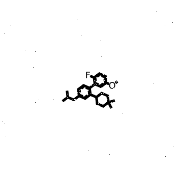 COc1ccc(F)c(-c2ccc(CC(C)C)cc2C2CCC(C)(C)CC2)c1